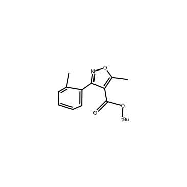 Cc1ccccc1-c1noc(C)c1C(=O)OC(C)(C)C